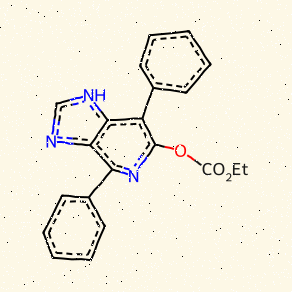 CCOC(=O)Oc1nc(-c2ccccc2)c2nc[nH]c2c1-c1ccccc1